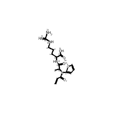 C=CC(=O)N(c1ccco1)C(C)C(=O)NC(CCCNC(=N)N)C(=O)O